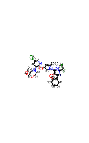 C[C@@H]1N(c2cc(Cl)cnc2O[C@H]2C[C@@H](C(=O)O)N(c3nc(C(F)F)nc4c3oc3ccccc34)C2)CCOC12COC2